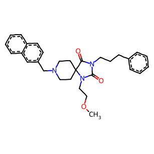 COCCN1C(=O)N(CCCc2ccccc2)C(=O)C12CCN(Cc1ccc3ccccc3c1)CC2